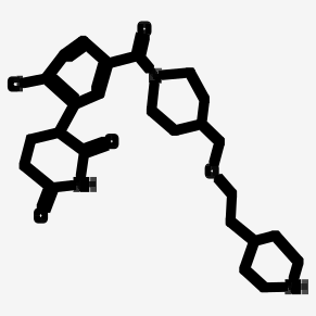 O=C1CCC(c2cc(C(=O)N3CCC(COCCC4CCNCC4)CC3)ccc2Cl)C(=O)N1